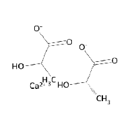 CC(O)C(=O)[O-].C[C@H](O)C(=O)[O-].[Ca+2]